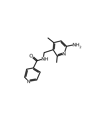 Cc1cc(N)nc(C)c1CNC(=O)c1ccncc1